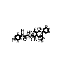 CC1=C(C(=O)Nc2ccccc2)C(c2cccs2)C(C#N)=C(SCC(=O)Nc2ccc(F)cc2)N1